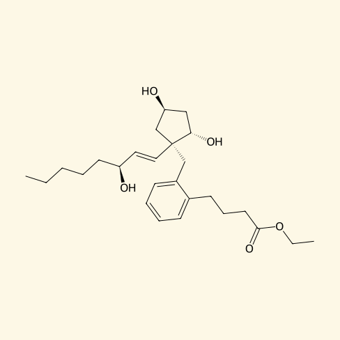 CCCCC[C@H](O)/C=C/[C@@]1(Cc2ccccc2CCCC(=O)OCC)C[C@@H](O)C[C@@H]1O